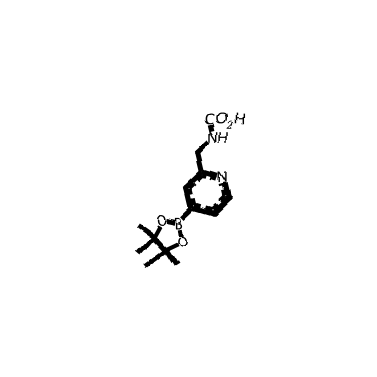 CC1(C)OB(c2ccnc(CNC(=O)O)c2)OC1(C)C